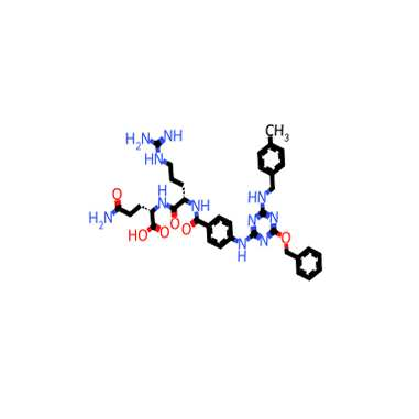 Cc1ccc(CNc2nc(Nc3ccc(C(=O)N[C@@H](CCCNC(=N)N)C(=O)N[C@@H](CCC(N)=O)C(=O)O)cc3)nc(OCc3ccccc3)n2)cc1